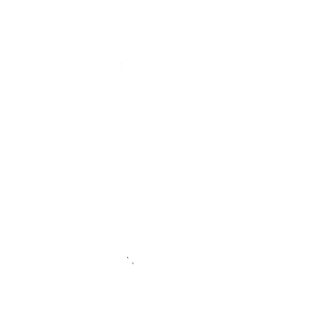 CCCC(c1ccc(C#N)cc1)C1CO1